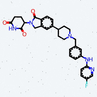 O=C1CCC(N2Cc3cc(C4CCN(Cc5cccc(Nc6ccc(F)cn6)c5)CC4)ccc3C2=O)C(=O)N1